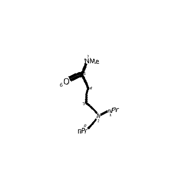 CCCN(CCC)CCC(=O)NC